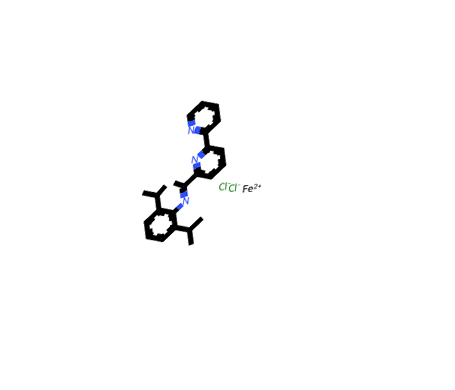 CC(=Nc1c(C(C)C)cccc1C(C)C)c1cccc(-c2ccccn2)n1.[Cl-].[Cl-].[Fe+2]